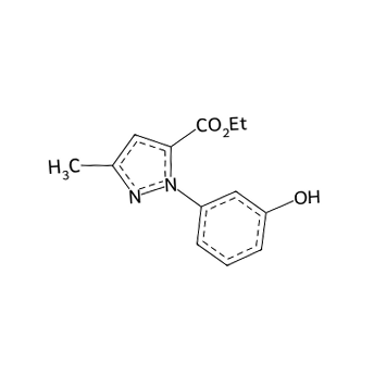 CCOC(=O)c1cc(C)nn1-c1cccc(O)c1